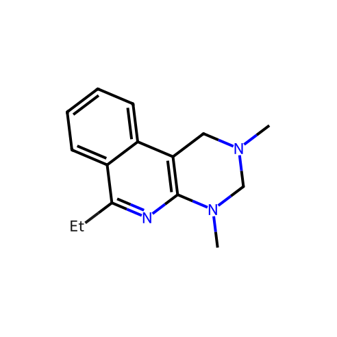 CCc1nc2c(c3ccccc13)CN(C)CN2C